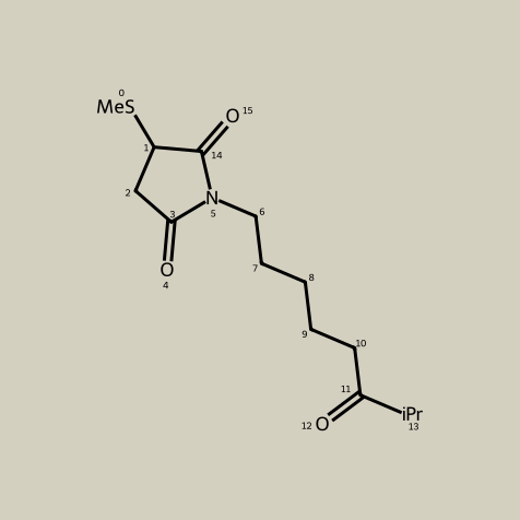 CSC1CC(=O)N(CCCCCC(=O)C(C)C)C1=O